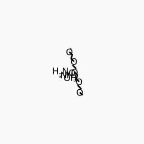 COCCOCCOCCOCCOC.N.NC(=O)O